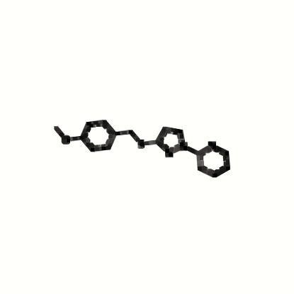 COc1ccc(CSc2ccn(-c3ccccn3)n2)cc1